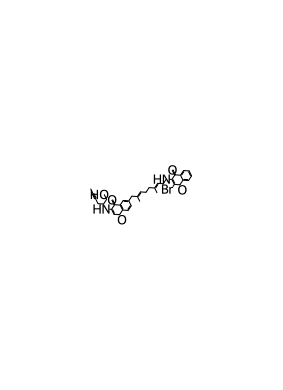 CC#CCC(CO)NC1=CC(=O)c2ccc(C/C(C)=C/CC/C(C)=C/CNC3=C(Br)C(=O)c4ccccc4C3=O)cc2C1=O